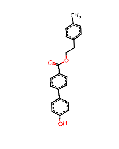 Cc1ccc(CCOC(=O)c2ccc(-c3ccc(O)cc3)cc2)cc1